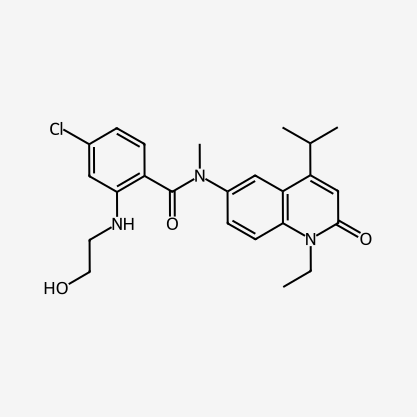 CCn1c(=O)cc(C(C)C)c2cc(N(C)C(=O)c3ccc(Cl)cc3NCCO)ccc21